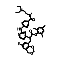 CCN(CC)CCN(C)C(=O)c1ccc(Nc2nccc(N(Cc3cc(F)cc4c3OCOC4)C(=O)Oc3c(C)cc(C)cc3C)n2)cc1